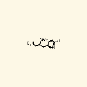 CN/C(=C\[N+](=O)[O-])Cc1ccc(Cl)nc1